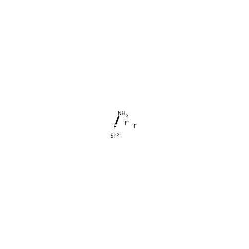 NF.[F-].[F-].[Sn+2]